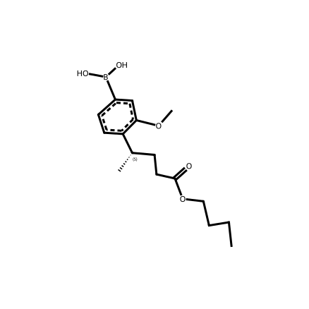 CCCCOC(=O)CC[C@H](C)c1ccc(B(O)O)cc1OC